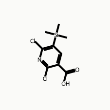 C[Si](C)(C)c1cc(C(=O)O)c(Cl)nc1Cl